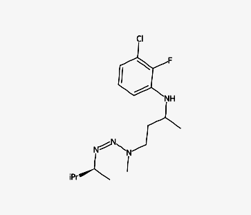 CC(CCN(C)/N=N\[C@@H](C)C(C)C)Nc1cccc(Cl)c1F